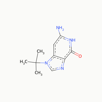 CC(C)(C)n1cnc2c(=O)[nH]c(N)cc21